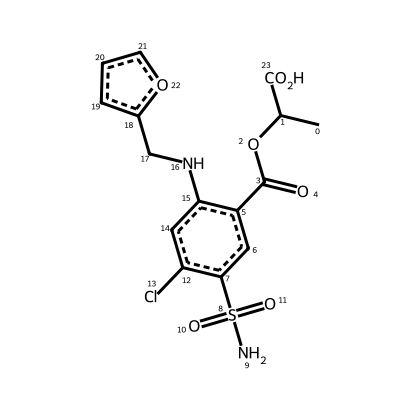 CC(OC(=O)c1cc(S(N)(=O)=O)c(Cl)cc1NCc1ccco1)C(=O)O